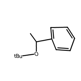 CC(OC(C)(C)C)c1ccccc1